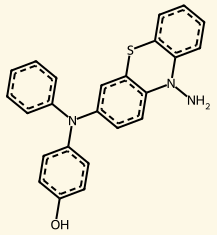 NN1c2ccccc2Sc2cc(N(c3ccccc3)c3ccc(O)cc3)ccc21